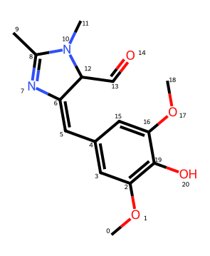 COc1cc(C=C2N=C(C)N(C)C2C=O)cc(OC)c1O